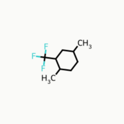 CC1CCC(C)C(C(F)(F)F)C1